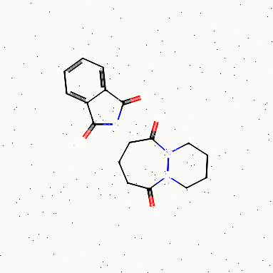 O=C1c2ccccc2C(=O)N1[C@H]1CCC(=O)N2CCCCN2C1=O